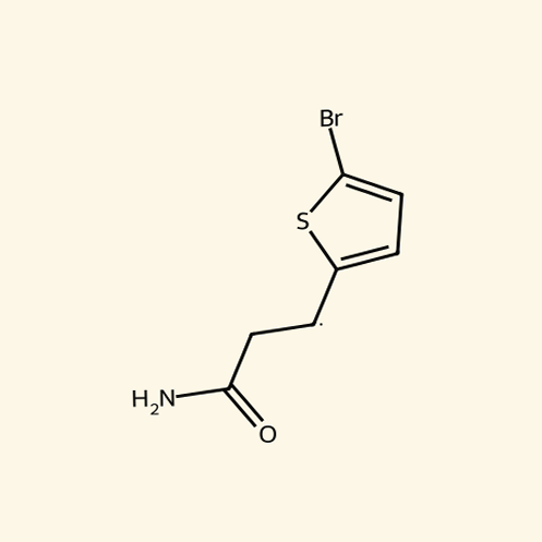 NC(=O)C[CH]c1ccc(Br)s1